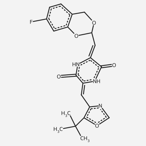 CC(C)(C)c1ocnc1C=c1[nH]c(=O)c(=CC2OCc3ccc(F)cc3O2)[nH]c1=O